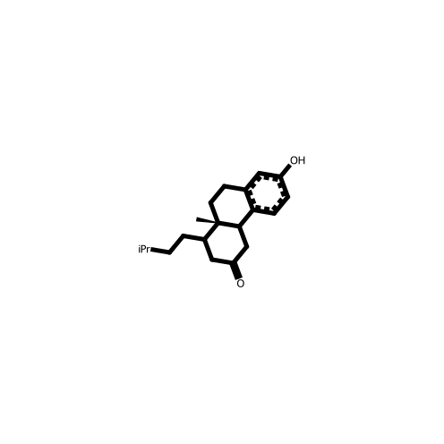 CC(C)CCC1CC(=O)CC2c3ccc(O)cc3CC[C@@]12C